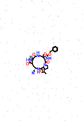 CC(C)[C@H]1CCN2C(=O)[C@@H](NC(=O)OCc3ccccc3)C(C)(C)CNC(=O)[C@@H]3CC(C[C@@H](C#N)NC(=O)[C@H]12)C(=O)N3